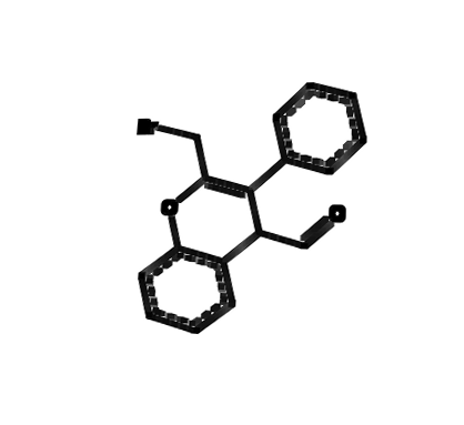 O=CC1C(c2ccccc2)=C(CBr)Oc2ccccc21